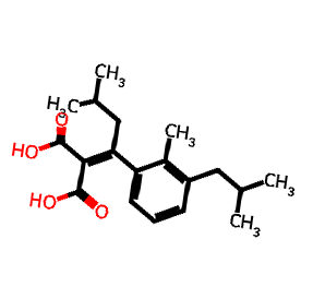 Cc1c(CC(C)C)cccc1C(CC(C)C)=C(C(=O)O)C(=O)O